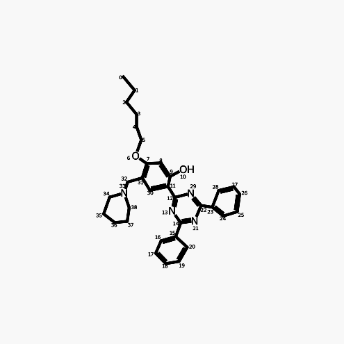 CCCCCCOc1cc(O)c(-c2nc(-c3ccccc3)nc(-c3ccccc3)n2)cc1CN1CCCCC1